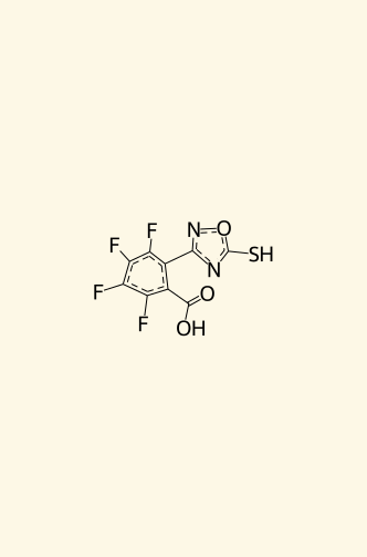 O=C(O)c1c(F)c(F)c(F)c(F)c1-c1noc(S)n1